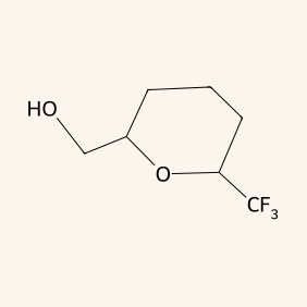 OCC1CCCC(C(F)(F)F)O1